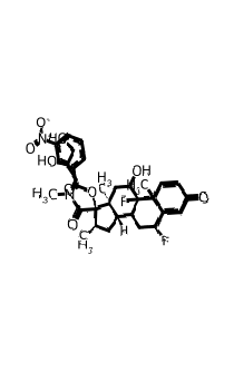 C[C@@H]1C[C@H]2C3C[C@H](F)C4=CC(=O)C=CC4(C)C3(F)C(O)C[C@]2(C)[C@@]1(OC(=O)c1cccc([N+](=O)[O-])c1)C(=O)N(C)CC(O)CO